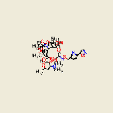 CCC(=O)/N=C1\[C@H](C)C[C@@]2(C)OC/C(=N/OCc3ccc(-c4ccno4)nc3)CO[C@H]([C@H]1C)[C@](C)(O)[C@@H](CC)OC(=O)[C@H](C)C(=O)[C@H](C)[C@H]2O[C@@H]1O[C@H](C)C[C@H](N(C)C)[C@H]1O